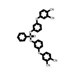 N#Cc1ccc(Oc2cccc(OP(=O)(Oc3cccc(Oc4ccc(C#N)c(C#N)c4)c3)c3ccccc3)c2)cc1C#N